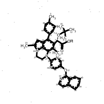 Cc1ccc(-c2c([C@H](OC(C)(C)C)C(=O)O)c(C)c3c4c2cc(C)n4CCN3c2ncc(Oc3nccc4ccccc34)cn2)cc1